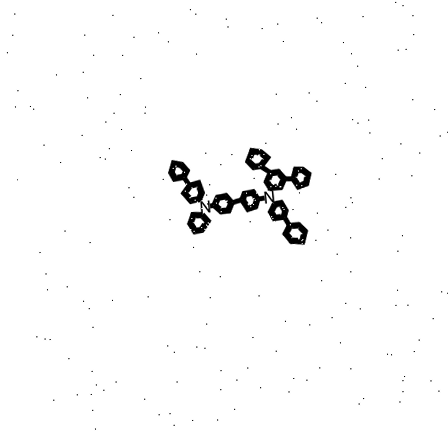 c1ccc(-c2ccc(N(c3ccccc3)c3ccc(-c4ccc(N(c5ccc(-c6ccccc6)cc5)c5cc(-c6ccccc6)cc(-c6ccccc6)c5)cc4)cc3)cc2)cc1